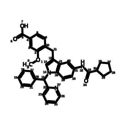 COc1cc(C(=O)O)ccc1Cc1cn(C(c2ccccc2)c2ccccn2)c2ccc(NC(=O)C3CCCC3)cc12